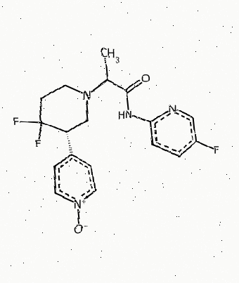 CC(C(=O)Nc1ccc(F)cn1)N1CCC(F)(F)[C@@H](c2cc[n+]([O-])cc2)C1